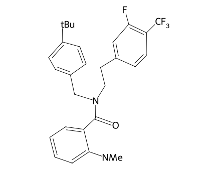 CNc1ccccc1C(=O)N(CCc1ccc(C(F)(F)F)c(F)c1)Cc1ccc(C(C)(C)C)cc1